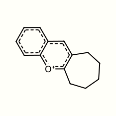 c1ccc2[o+]c3c(cc2c1)CCCCC3